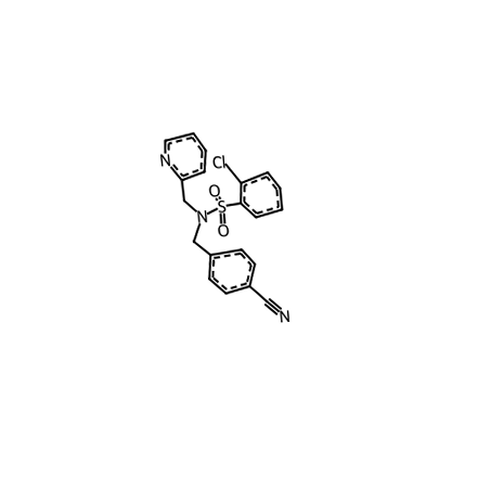 N#Cc1ccc(CN(Cc2ccccn2)S(=O)(=O)c2ccccc2Cl)cc1